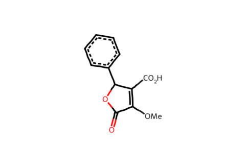 COC1=C(C(=O)O)C(c2ccccc2)OC1=O